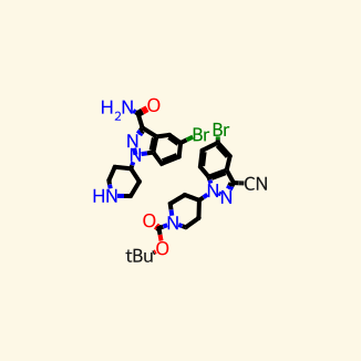 CC(C)(C)OC(=O)N1CCC(n2nc(C#N)c3cc(Br)ccc32)CC1.NC(=O)c1nn(C2CCNCC2)c2ccc(Br)cc12